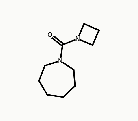 O=C(N1CCCCCC1)N1CCC1